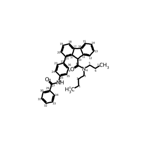 CCCCN(CCC)C(=O)C1c2ccccc2-c2cccc(-c3ccc(NC(=O)c4ccccc4)cc3)c21